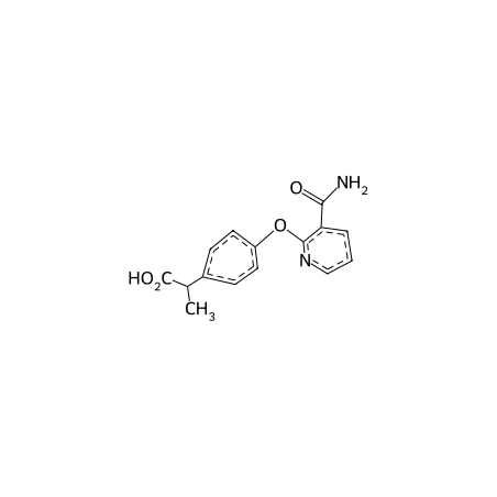 CC(C(=O)O)c1ccc(Oc2ncccc2C(N)=O)cc1